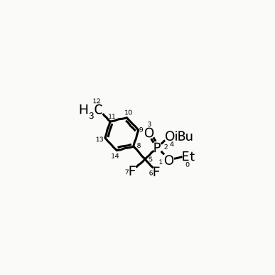 CCOP(=O)(OCC(C)C)C(F)(F)c1ccc(C)cc1